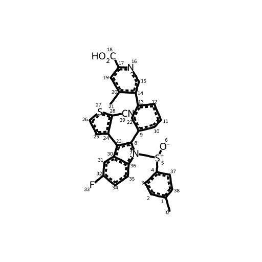 Cc1ccc([S+]([O-])n2c(-c3cccc(-c4cnc(C(=O)O)cc4C)c3)c(-c3ccsc3C#N)c3cc(F)ccc32)cc1